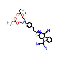 CC(=O)OCCN(CCOC(C)=O)c1ccc(/C=C/c2ccc(C=C3C(=C(C#N)C#N)c4ccccc4C3=C(C#N)C#N)s2)cc1